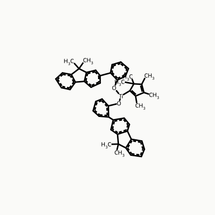 CC1=C(C)C(C)(C)[C]([Ti]([O]c2ccccc2-c2ccc3c(c2)C(C)(C)c2ccccc2-3)[O]c2ccccc2-c2ccc3c(c2)C(C)(C)c2ccccc2-3)=C1C